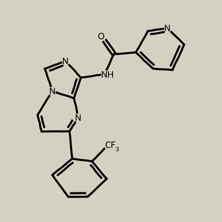 O=C(Nc1ncn2ccc(-c3ccccc3C(F)(F)F)nc12)c1cccnc1